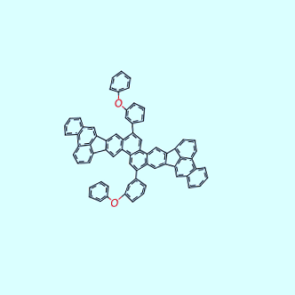 c1ccc(Oc2cccc(-c3cc4c5cc6c(cc5c(-c5cccc(Oc7ccccc7)c5)cc4c4cc5c(cc34)-c3cc4ccccc4c4cccc-5c34)-c3cc4ccccc4c4cccc-6c34)c2)cc1